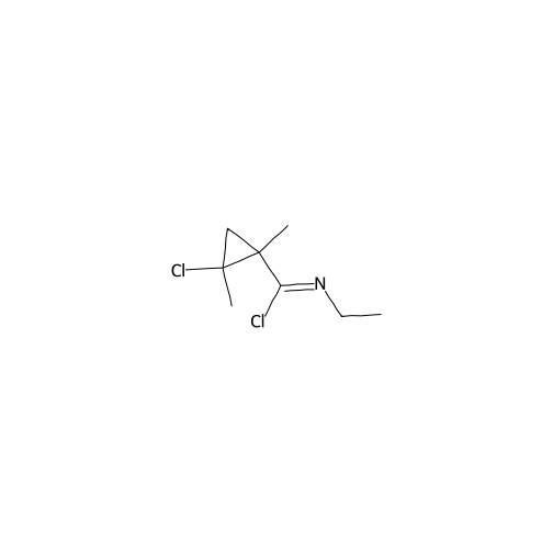 CC/N=C(\Cl)C1(C)CC1(C)Cl